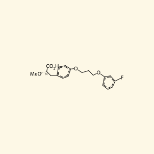 CO[C@@H](Cc1ccc(OCCCOc2cccc(F)c2)cc1)C(=O)O